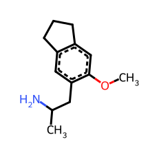 COc1cc2c(cc1CC(C)N)CCC2